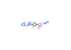 [N-]=[N+]=NC[C@H]1CN(c2ccc(-n3cc(Cn4cncn4)cn3)c(F)c2)C(=O)O1